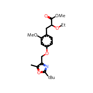 CCOC(Cc1ccc(OCc2nc(C(C)(C)C)oc2C)cc1OC)C(=O)OC